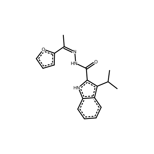 CC(=NNC(=O)c1[nH]c2ccccc2c1C(C)C)c1ccco1